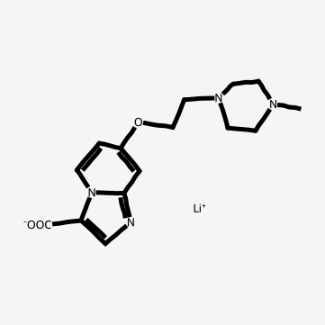 CN1CCN(CCOc2ccn3c(C(=O)[O-])cnc3c2)CC1.[Li+]